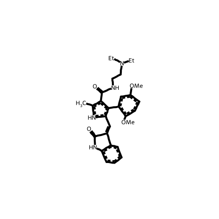 CCN(CC)CCNC(=O)c1c(C)[nH]c(C=C2C(=O)Nc3ccccc32)c1-c1cc(OC)ccc1OC